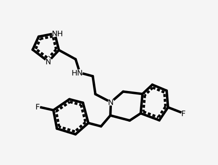 Fc1ccc(CC2Cc3cc(F)ccc3CN2CCNCc2ncc[nH]2)cc1